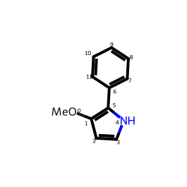 COc1cc[nH]c1-c1ccccc1